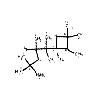 CNC(C)(C)CC(C)(Cl)C(C)(C)[C@@]1(C)CC(C)(C)C1C